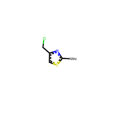 CNc1nc(CCl)cs1